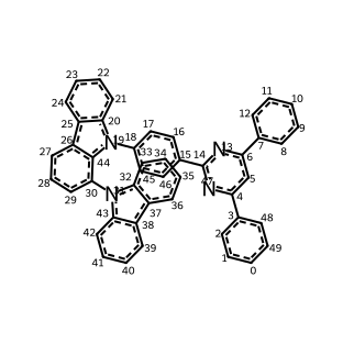 c1ccc(-c2cc(-c3ccccc3)nc(-c3ccc(-n4c5ccccc5c5cccc(-n6c7ccccc7c7ccccc76)c54)cc3)n2)cc1